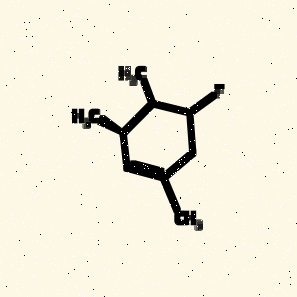 CC1=C[C@@H](C)C(C)C(F)C1